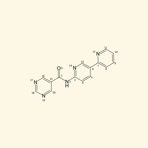 O=C(Nc1ccc(-c2ccccn2)cn1)c1cncnc1